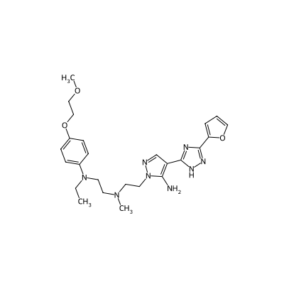 CCN(CCN(C)CCn1ncc(-c2nc(-c3ccco3)n[nH]2)c1N)c1ccc(OCCOC)cc1